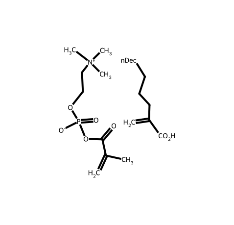 C=C(C)C(=O)OP(=O)([O-])OCC[N+](C)(C)C.C=C(CCCCCCCCCCCCC)C(=O)O